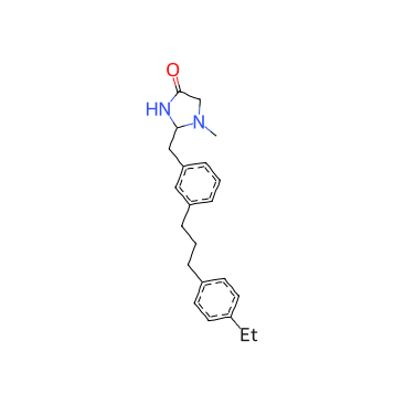 CCc1ccc(CCCc2cccc(CC3NC(=O)CN3C)c2)cc1